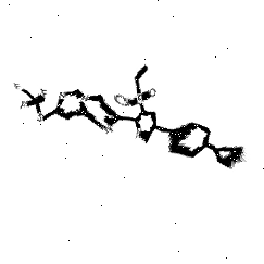 CCS(=O)(=O)c1cc(-c2ccc(C3CC3)cc2)cnc1-c1cn2cnc(SC(F)(F)F)cc2n1